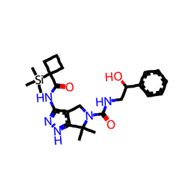 CC1(C)c2[nH]nc(NC(=O)C3([Si](C)(C)C)CCC3)c2CN1C(=O)NCC(O)c1ccccc1